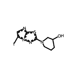 OC1CCCN(c2nn3c(I)cnc3s2)C1